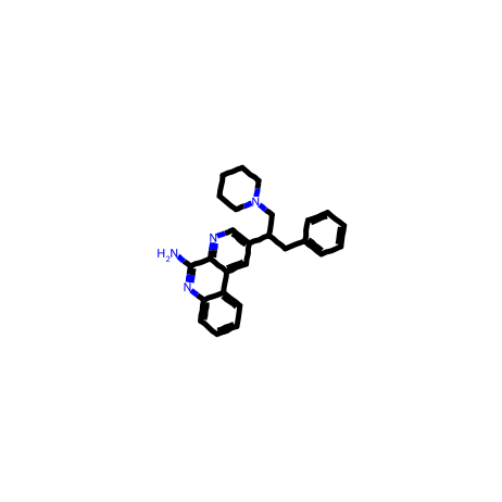 Nc1nc2ccccc2c2cc(C(Cc3ccccc3)CN3CCCCC3)cnc12